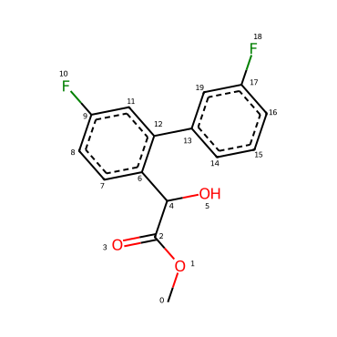 COC(=O)C(O)c1ccc(F)cc1-c1cccc(F)c1